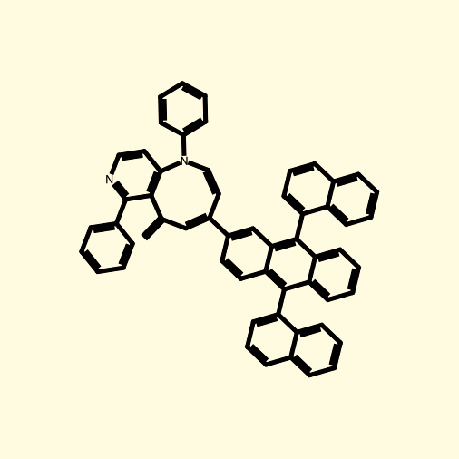 C=C1/C=C(c2ccc3c(-c4cccc5ccccc45)c4ccccc4c(-c4cccc5ccccc45)c3c2)\C=C/N(c2ccccc2)c2ccnc(-c3ccccc3)c21